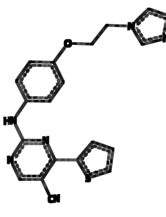 N#Cc1cnc(Nc2ccc(OCCn3ccnc3)cc2)nc1-c1cccs1